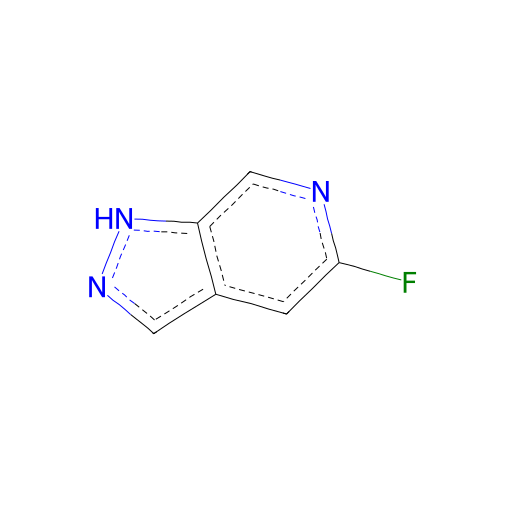 Fc1cc2cn[nH]c2cn1